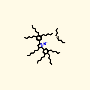 CCCCCCC1=C(c2cc(CCCCC)c(CCCCC)c(CCCCC)c2)[N+](=[N-])C(c2cc(CCCCC)c(CCCCC)c(CCCCC)c2)=C1.CCC[CH2][Ni][CH2]CCC